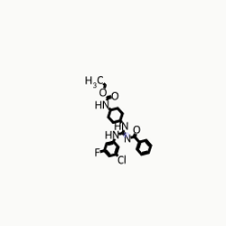 CCOC(=O)NC1CCC(N/C(=N\C(=O)c2ccccc2)Nc2cc(F)cc(Cl)c2)CC1